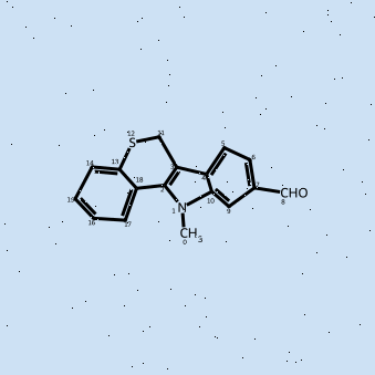 Cn1c2c(c3ccc(C=O)cc31)CSc1ccccc1-2